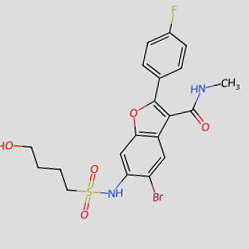 CNC(=O)c1c(-c2ccc(F)cc2)oc2cc(NS(=O)(=O)CCCCO)c(Br)cc12